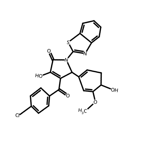 COC1=CC(C2C(C(=O)c3ccc(Cl)cc3)=C(O)C(=O)N2c2nc3ccccc3s2)=CCC1O